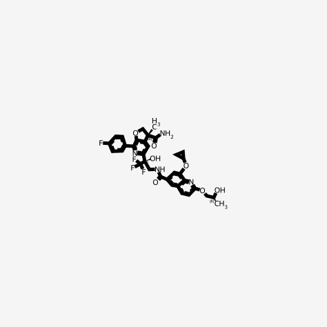 C[C@@H](O)COc1ccc2cc(C(=O)NC[C@](O)(c3cc4c(c(-c5ccc(F)cc5)n3)OC[C@]4(C)C(N)=O)C(F)(F)F)cc(OC3CC3)c2n1